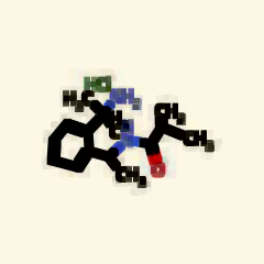 C=C(C)C(=O)NC(C)c1ccccc1C(C)(C)N.Cl